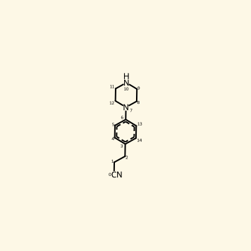 N#CCCc1ccc(N2CCNCC2)cc1